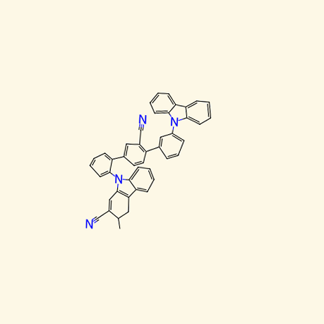 CC1Cc2c(n(-c3ccccc3-c3ccc(-c4cccc(-n5c6ccccc6c6ccccc65)c4)c(C#N)c3)c3ccccc23)C=C1C#N